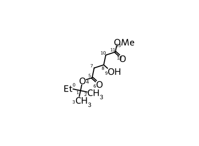 CCC(C)(C)OC(=O)CC(O)CC(=O)OC